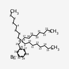 CCCCCCCC[N+](CCCCCCCC)(CCCCCCCC)Cc1ccccc1.[Br-]